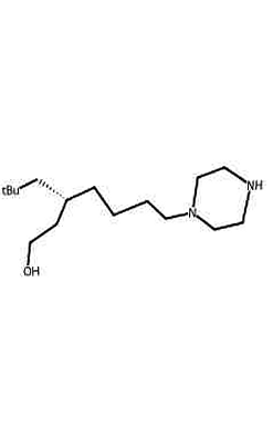 CC(C)(C)C[C@@H](CCO)CCCCN1CCNCC1